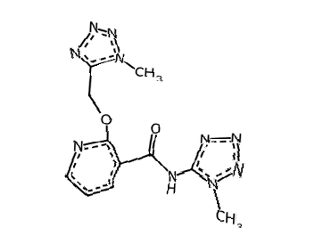 Cn1nnnc1COc1ncccc1C(=O)Nc1nnnn1C